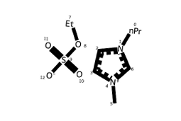 CCCn1cc[n+](C)c1.CCOS(=O)(=O)[O-]